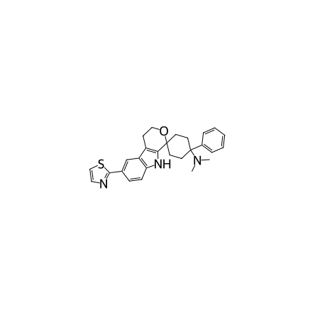 CN(C)C1(c2ccccc2)CCC2(CC1)OCCc1c2[nH]c2ccc(-c3nccs3)cc12